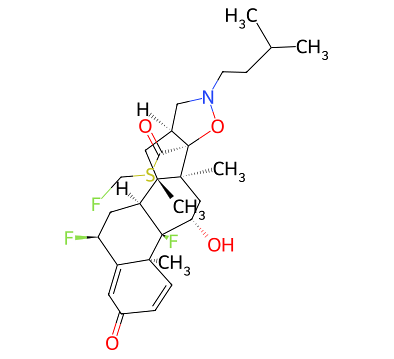 CC(C)CCN1C[C@@H]2C[C@@]3(C)[C@@H]4C[C@H](F)C5=CC(=O)C=C[C@]5(C)[C@@]4(F)[C@@H](O)C[C@]3(C)[C@]2(C(=O)SCF)O1